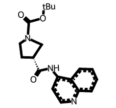 CC(C)(C)OC(=O)N1CC[C@@H](C(=O)Nc2ccnc3ccccc23)C1